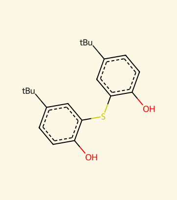 CC(C)(C)c1ccc(O)c(Sc2cc(C(C)(C)C)ccc2O)c1